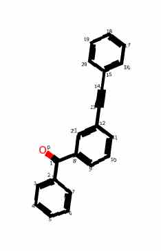 O=C(c1ccccc1)c1cccc(C#Cc2ccccc2)c1